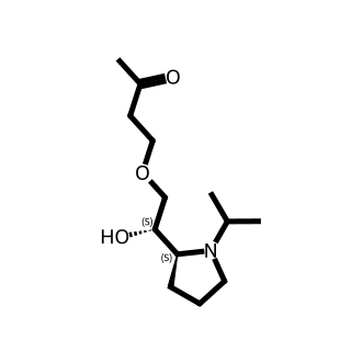 CC(=O)CCOC[C@@H](O)[C@@H]1CCCN1C(C)C